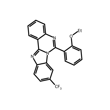 CCOc1ccccc1-c1nc2ccccc2c2nc3ccc(C(F)(F)F)cc3n12